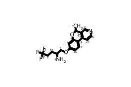 CC1Oc2cc(OCC(N)CCC(F)(F)F)ccc2-c2ccncc21